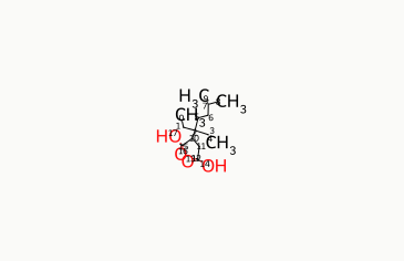 CCC(CC)(CCC(C)C)C(CC(=O)O)C(=O)O